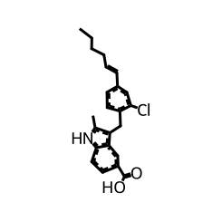 CCCCC=Cc1ccc(Cc2c(C)[nH]c3ccc(C(=O)O)cc23)c(Cl)c1